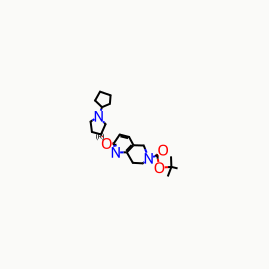 CC(C)(C)OC(=O)N1CCc2nc(O[C@@H]3CCN(C4CCCC4)C3)ccc2C1